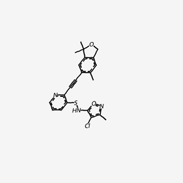 Cc1cc2c(cc1C#Cc1ncccc1SNc1onc(C)c1Cl)C(C)(C)OC2